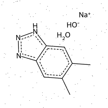 Cc1cc2nn[nH]c2cc1C.O.[Na+].[OH-]